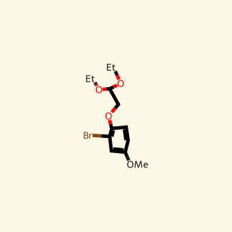 CCOC(COc1ccc(OC)cc1Br)OCC